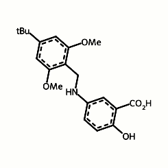 COc1cc(C(C)(C)C)cc(OC)c1CNc1ccc(O)c(C(=O)O)c1